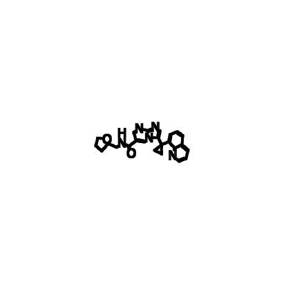 O=C(NCC1CCCO1)c1cnc2ncc(C3(c4cccc5cccnc45)CC3)n2c1